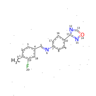 Cc1ccc(C=Nc2ccc(-c3ncon3)cc2)cc1F